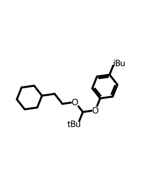 CCC(C)c1ccc(OC(OCCC2CCCCC2)C(C)(C)C)cc1